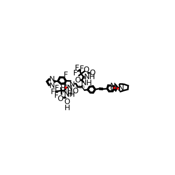 COC(=O)N[C@H](C(=O)N[C@@H](Cc1ccc(C#Cc2ccc(N3CC4CCC(C3)N4C3COC3)nc2)cc1)[C@@H](O)CN(Cc1c(F)cc(-c2ncccn2)cc1F)NC(=O)[C@@H](NC(=O)O)C(C)(C)C(F)(F)F)C(C)(C)C(F)(F)F